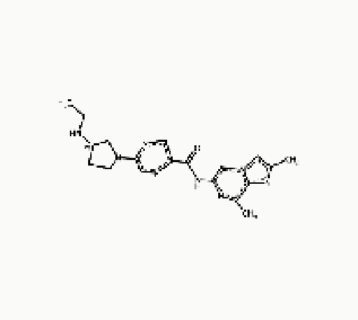 CCN[C@H]1CCN(c2cnc(C(=O)Nc3cn4cc(C)nc4c(C)n3)cn2)C1